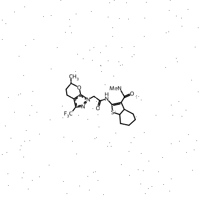 CNC(=O)C1=C(NC(=O)Cn2nc(C(F)(F)F)c3c2OC(C)CC3)SC2CCCCC12